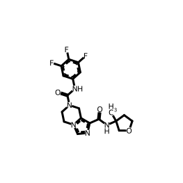 CC1(NC(=O)c2ncn3c2CN(C(=O)Nc2cc(F)c(F)c(F)c2)CC3)CCOC1